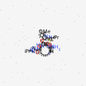 COc1ccc2c(O[C@@H]3C[C@H]4C(=O)N[C@]5(C(N)=O)C[C@H]5/C=C\CCCCC[C@H](NC(=O)c5ncn(C(C)C)n5)C(=O)N4C3)cc(-c3nc(C(C)C)cs3)nc2c1C